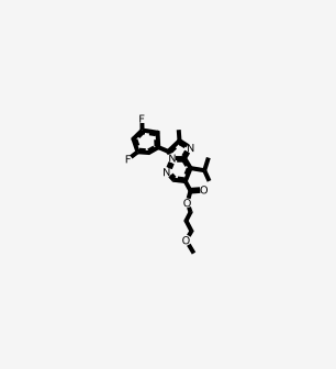 COCCCOC(=O)c1cnn2c(-c3cc(F)cc(F)c3)c(C)nc2c1C(C)C